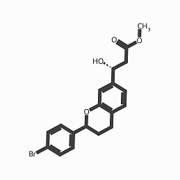 COC(=O)C[C@@H](O)c1ccc2c(c1)OC(c1ccc(Br)cc1)CC2